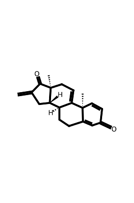 C=C1C[C@H]2[C@@H]3CCC4=CC(=O)C=C[C@]4(C)C3=CC[C@]2(C)C1=O